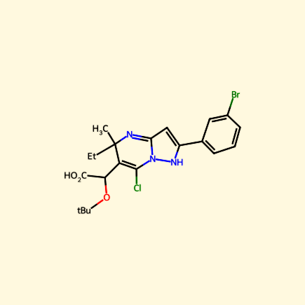 CCC1(C)N=C2C=C(c3cccc(Br)c3)NN2C(Cl)=C1C(OC(C)(C)C)C(=O)O